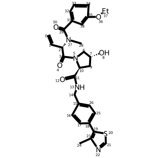 C=C[C@@H](C(=O)N1C[C@H](O)C[C@H]1C(=O)NCc1ccc(-c2scnc2C)cc1)N(C)C(=O)c1cccc(OCC)c1